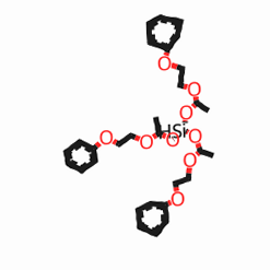 CC(OCCOc1ccccc1)O[SiH](OC(C)OCCOc1ccccc1)OC(C)OCCOc1ccccc1